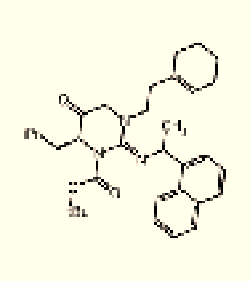 CC(C)C[C@H]1C(=O)CN(CCC2=CCCCC2)C(=NC(C)c2cccc3ccccc23)N1C(=O)OC(C)(C)C